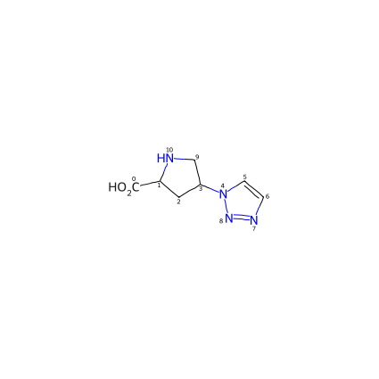 O=C(O)C1CC(n2ccnn2)CN1